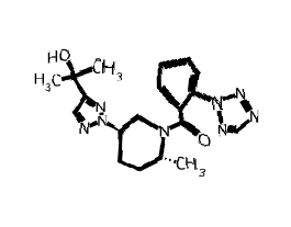 C[C@@H]1CC[C@@H](n2ncc(C(C)(C)O)n2)CN1C(=O)c1ccccc1-n1ncnn1